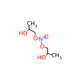 CC(O)CO[N+](=O)OCC(C)O